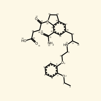 CCOc1ccccc1OCCNC(C)Cc1cc2c(c(C(N)=O)c1)N(C(=O)CCC(=O)O)CC2